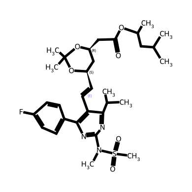 CC(C)CC(C)OC(=O)C[C@H]1C[C@@H](/C=C/c2c(-c3ccc(F)cc3)nc(N(C)S(C)(=O)=O)nc2C(C)C)OC(C)(C)O1